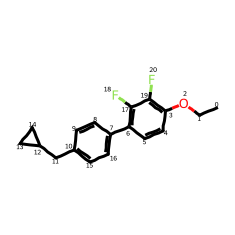 CCOc1ccc(-c2ccc(CC3CC3)cc2)c(F)c1F